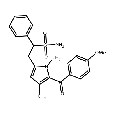 COc1ccc(C(=O)c2c(C)cc(CC(c3ccccc3)S(N)(=O)=O)n2C)cc1